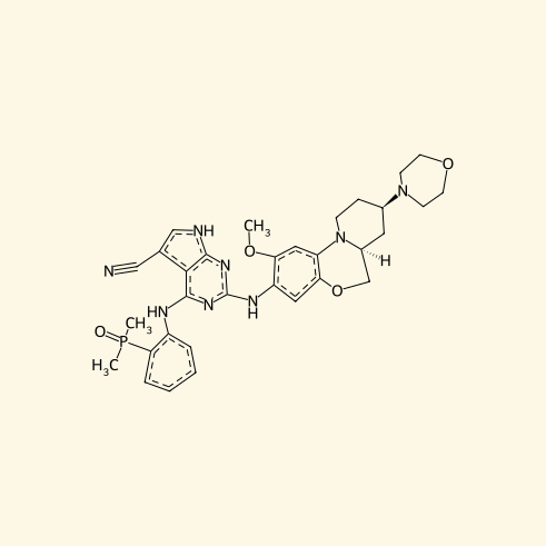 COc1cc2c(cc1Nc1nc(Nc3ccccc3P(C)(C)=O)c3c(C#N)c[nH]c3n1)OC[C@@H]1C[C@H](N3CCOCC3)CCN21